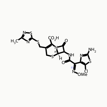 CO/N=C(/C(=O)NC1C(=O)N2C(C(=O)O)=C(CSc3nc(C)ns3)CS[C@H]12)c1nc(N)sc1Cl